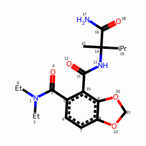 CCN(CC)C(=O)c1ccc2c(c1C(=O)NC(C)(C(N)=O)C(C)C)OCO2